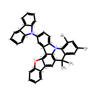 CC1(C)c2cc(C#N)cc(C#N)c2-n2c3ccc(-n4c5ccccc5c5ccccc54)cc3c3c4oc5ccccc5c4cc1c32